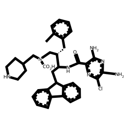 Cc1ccccc1C[C@@H](CN(CC1CCNCC1)C(=O)O)C(CC1c2ccccc2-c2ccccc21)NC(=O)c1nc(Cl)c(N)nc1N